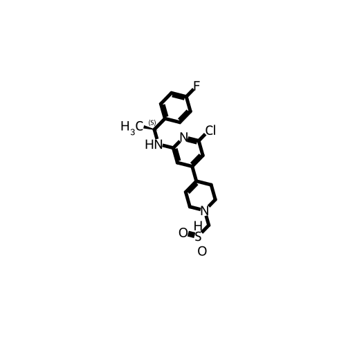 C[C@H](Nc1cc(C2=CCN(C[SH](=O)=O)CC2)cc(Cl)n1)c1ccc(F)cc1